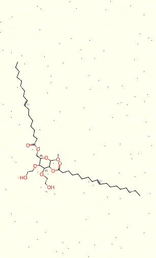 CCCCCCCC/C=C/CCCCCCCC(=O)OC[C@H]1OC(OC)C(OC(=O)CCCCCCC/C=C/CCCCCCCC)[C@@H](OCCO)C1OCCO